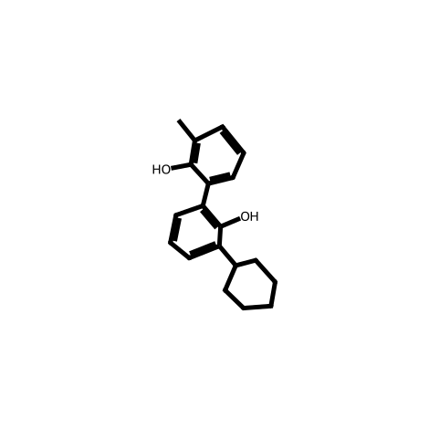 Cc1cccc(-c2cccc(C3CCCCC3)c2O)c1O